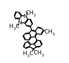 Cc1ccc2c(-c3ccc4c(c3)N(C)c3ccccc3N4C)c3ccccc3c(-c3cccc4c3-c3ccccc3C4(C)C)c2c1